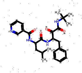 CC(C)CC(NC(=O)c1cccnc1)C(=O)NC(Cc1ccccc1)C(=O)C(=O)NC(C)(C)C